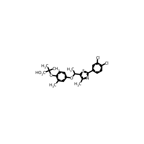 Cc1cc(OC(C)c2sc(-c3ccc(Cl)c(Cl)c3)nc2C)ccc1OC(C)(C)C(=O)O